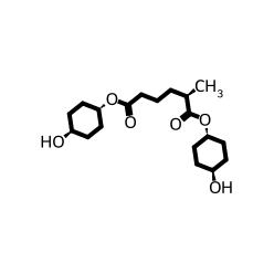 C[C@H](CCCC(=O)O[C@H]1CC[C@H](O)CC1)C(=O)O[C@H]1CC[C@H](O)CC1